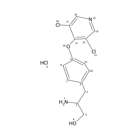 Cl.NC(CO)Cc1ccc(Oc2c(Cl)cncc2Cl)cc1